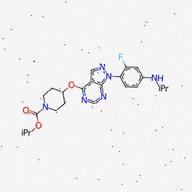 CC(C)Nc1ccc(-n2ncc3c(OC4CCN(C(=O)OC(C)C)CC4)ncnc32)c(F)c1